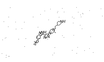 C[C@H]1CN(c2cc(-c3[nH]nc4ccc(OC5(C)CC5)cc34)ncn2)CCN1CCC1CCNCC1